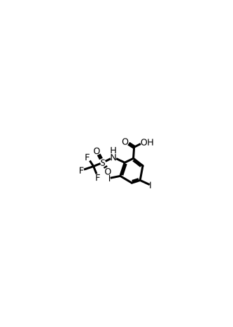 O=C(O)c1cc(I)cc(I)c1NS(=O)(=O)C(F)(F)F